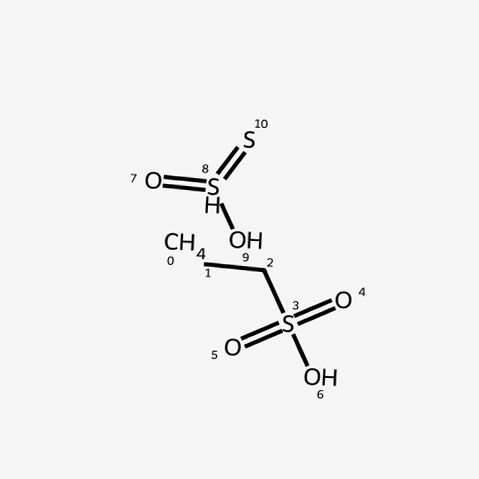 C.CCS(=O)(=O)O.O=[SH](O)=S